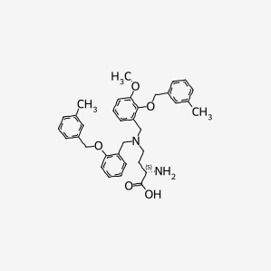 COc1cccc(CN(CC[C@H](N)C(=O)O)Cc2ccccc2OCc2cccc(C)c2)c1OCc1cccc(C)c1